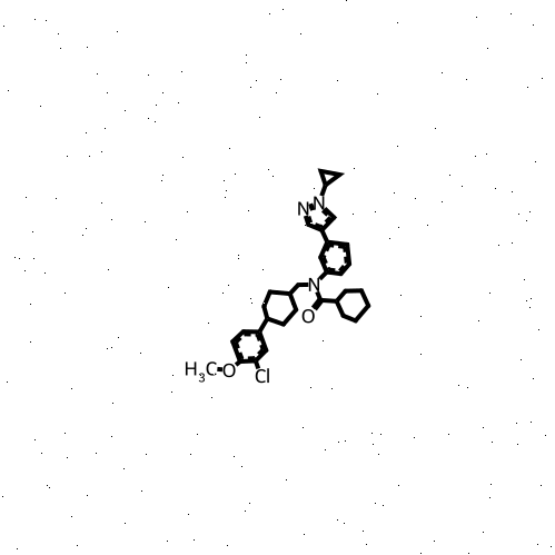 COc1ccc(C2CCC(CN(C(=O)C3CCCCC3)c3cccc(-c4cnn(C5CC5)c4)c3)CC2)cc1Cl